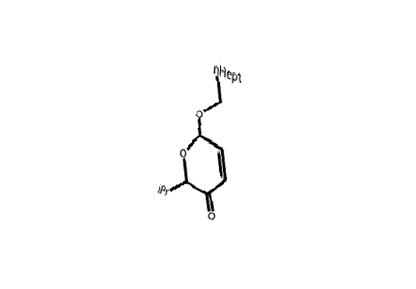 CCCCCCCCOC1C=CC(=O)C(C(C)C)O1